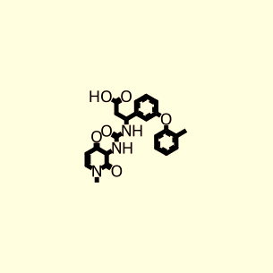 Cc1ccccc1Oc1cccc(C(CC(=O)O)NC(=O)NC2C(=O)C=CN(C)C2=O)c1